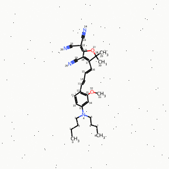 CCCCN(CCCC)c1ccc(/C=C/C=C/C2=C(C#N)C(=C(C#N)C#N)OC2(C)C)c(OC)c1